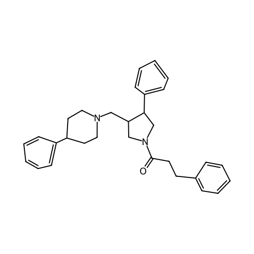 O=C(CCc1ccccc1)N1CC(CN2CCC(c3ccccc3)CC2)C(c2ccccc2)C1